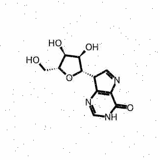 O=c1[nH]cnc2c1N=CC2[C@@H]1O[C@H](CO)[C@@H](O)[C@H]1O